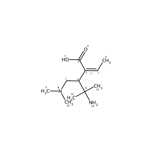 C/C=C(\C(=O)O)C(CN(C)C)C(C)(C)N